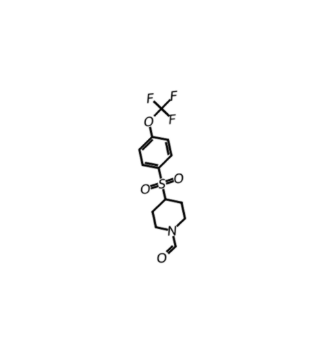 O=CN1CCC(S(=O)(=O)c2ccc(OC(F)(F)F)cc2)CC1